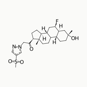 C[C@@]1(O)CC[C@@H]2C3CC[C@]4(C)[C@@H](C(=O)Cn5cc(S(C)(=O)=O)cn5)CC[C@H]4[C@@H]3C[C@@H](F)[C@H]2C1